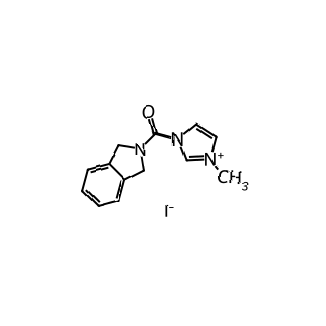 C[n+]1ccn(C(=O)N2Cc3ccccc3C2)c1.[I-]